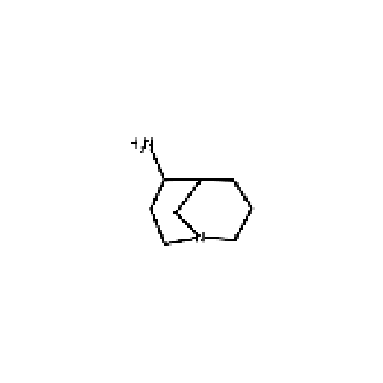 NC1CCN2CCCC1C2